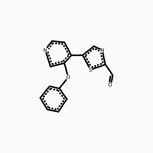 O=Cc1ncc(-c2ccncc2Oc2ccccc2)s1